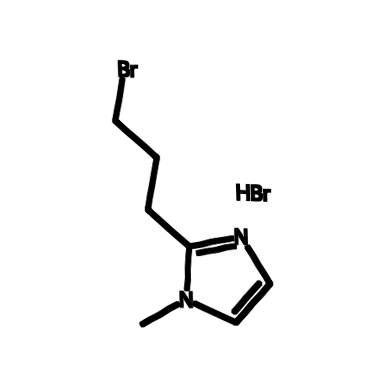 Br.Cn1ccnc1CCCBr